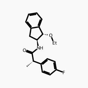 CCO[C@H]1c2ccccc2C[C@@H]1NC(=O)[C@@H](C)c1ccc(F)cc1